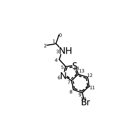 CC(C)NCc1nc2cc(Br)ccc2s1